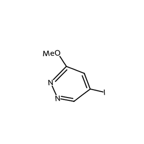 COc1cc(I)cnn1